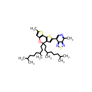 Cc1cc2c(s1)-c1sc(-c3cnc(C)c4nsnc34)cc1C(CCC(C)CCCC(C)C)(CCC(C)CCCC(C)C)O2